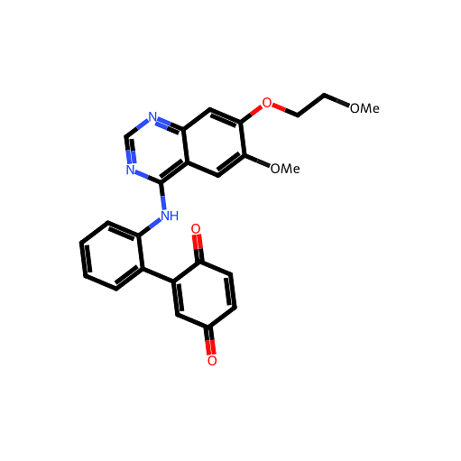 COCCOc1cc2ncnc(Nc3ccccc3C3=CC(=O)C=CC3=O)c2cc1OC